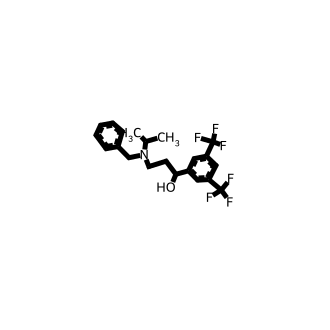 CC(C)N(CCC(O)c1cc(C(F)(F)F)cc(C(F)(F)F)c1)Cc1ccccc1